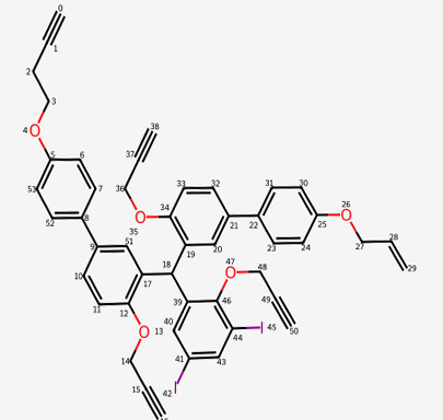 C#CCCOc1ccc(-c2ccc(OCC#C)c(C(c3cc(-c4ccc(OCC=C)cc4)ccc3OCC#C)c3cc(I)cc(I)c3OCC#C)c2)cc1